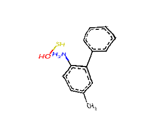 Cc1ccc(N)c(-c2cc[c]cc2)c1.OS